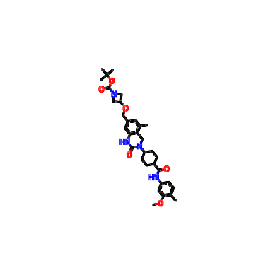 COc1cc(NC(=O)C2CCC(N3Cc4c(C)cc(COC5CN(C(=O)OC(C)(C)C)C5)cc4NC3=O)CC2)ccc1C